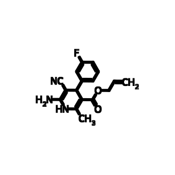 C=CCOC(=O)C1=C(C)NC(N)=C(C#N)C1c1cccc(F)c1